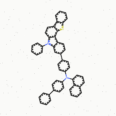 c1ccc(-c2ccc(N(c3ccc(-c4ccc5c6c7sc8ccccc8c7ccc6n(-c6ccccc6)c5c4)cc3)c3cccc4ccccc34)cc2)cc1